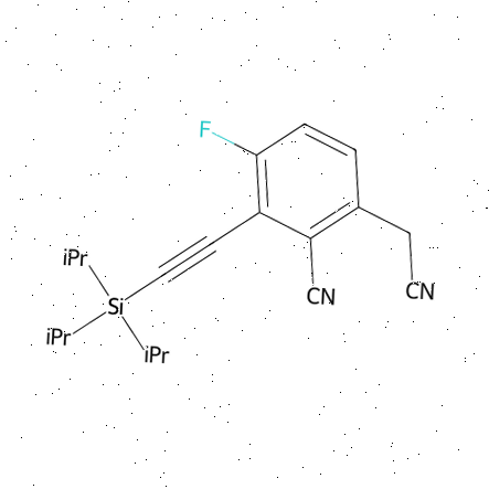 CC(C)[Si](C#Cc1c(F)ccc(CC#N)c1C#N)(C(C)C)C(C)C